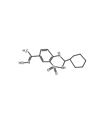 CC(=NO)c1ccc2c(c1)S(=O)(=O)NC(C1CCCCC1)N2